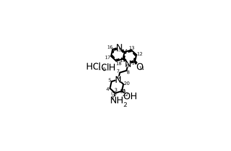 Cl.Cl.N[C@H]1CCN(CCn2c(=O)ccc3ncccc32)C[C@H]1O